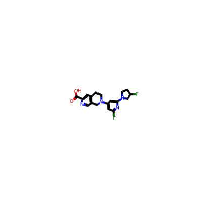 O=C(O)c1cc2c(cn1)CN(c1cc(F)nc(N3CCC(F)C3)c1)CC2